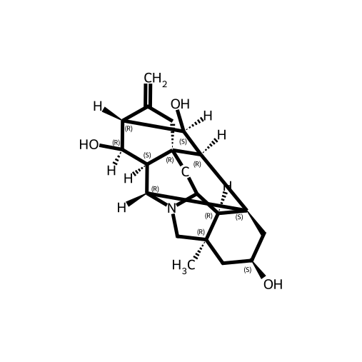 C=C1C[C@@]23CC4[C@@H]5[C@@]6(C)C[C@H](O)C[C@@]57[C@@H]2[C@H](O)[C@@H]1[C@H](O)[C@@H]3[C@H]7N4C6